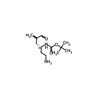 C=C(C=O)C[C@@H](CCN)NC(=O)OC(C)(C)C